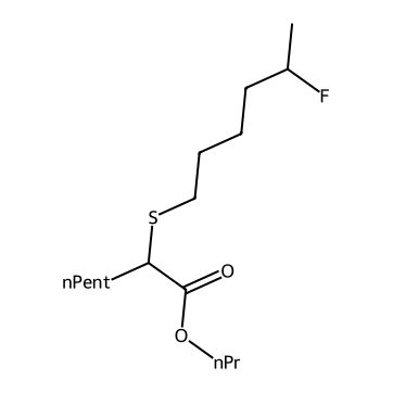 CCCCCC(SCCCCC(C)F)C(=O)OCCC